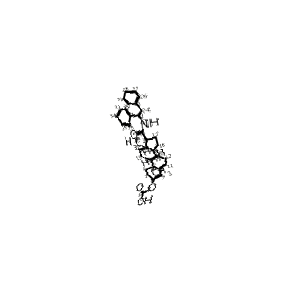 C[C@]12CCC(OC(=O)O)=CC1=CC[C@@H]1[C@@H]2CC[C@]2(C)C(C(=O)NC(Cc3ccccc3)c3ccccc3)CC[C@@H]12